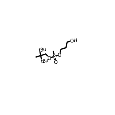 CC(C)(C)C(C)(COP(C)(=O)OCCCO)C(C)(C)C